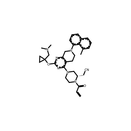 C=CC(=O)N1CCN(c2nc(OC3(CN(C)C)CC3)nc3c2CCN(c2cccc4cccc(C)c24)C3)C[C@@H]1CC#N